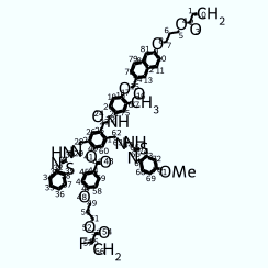 C=CC(=O)OCCCOc1ccc2cc(C(=O)Oc3ccc(NC(=O)c4cc(/C=N/Nc5nc6ccccc6s5)c(OC(=O)c5ccc(OCCCOC(=O)C(=C)F)cc5)cc4/C=N/Nc4nc5ccc(OC)cc5s4)cc3C)ccc2c1